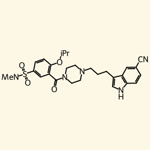 CNS(=O)(=O)c1ccc(OC(C)C)c(C(=O)N2CCN(CCCc3c[nH]c4ccc(C#N)cc34)CC2)c1